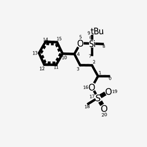 CC(CCC(O[Si](C)(C)C(C)(C)C)c1ccccc1)OS(C)(=O)=O